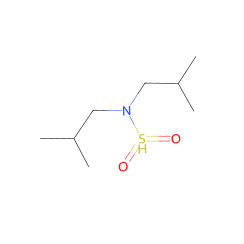 CC(C)CN(CC(C)C)[SH](=O)=O